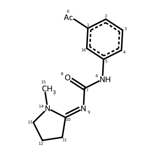 CC(=O)c1cccc(NC(=O)N=C2CCCN2C)c1